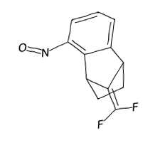 O=Nc1cccc2c1C1CCC2C1=C(F)F